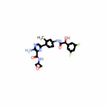 Cc1cc(NC(=O)C(O)c2cc(F)cc(F)c2)ccc1-c1cnc(N)c(C(=O)NC2COC2)n1